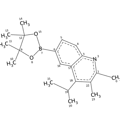 Cc1nc2ccc(B3OC(C)(C)C(C)(C)O3)cc2c(C(C)C)c1C